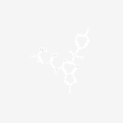 C/C(N)=C/C(=N)Nc1nc(C(F)(F)c2ccc(F)cc2)nc2sc(C)cc12